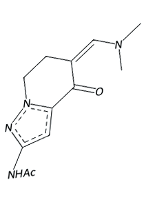 CC(=O)Nc1cc2n(n1)CCC(=CN(C)C)C2=O